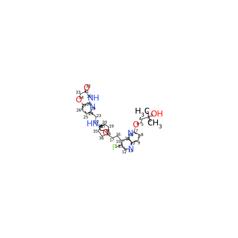 CC(C)(O)CCOc1ccc2ncc(F)c(CCC34CCC(NCc5ccc6c(n5)NC(=O)CO6)(CC3)CO4)c2n1